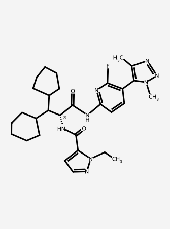 CCn1nccc1C(=O)N[C@@H](C(=O)Nc1ccc(-c2c(C)nnn2C)c(F)n1)C(C1CCCCC1)C1CCCCC1